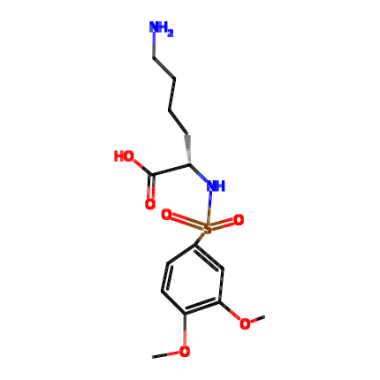 COc1ccc(S(=O)(=O)N[C@@H](CCCCN)C(=O)O)cc1OC